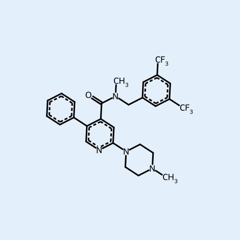 CN1CCN(c2cc(C(=O)N(C)Cc3cc(C(F)(F)F)cc(C(F)(F)F)c3)c(-c3ccccc3)cn2)CC1